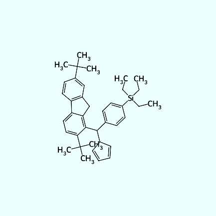 CC[Si](CC)(CC)c1ccc(C(c2c(C(C)(C)C)ccc3c2Cc2cc(C(C)(C)C)ccc2-3)C2C=CC=C2)cc1